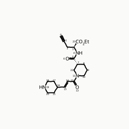 C#CC[C@H](NC(=O)[C@@H]1CCCN(C(=O)/C=C/C2CCNCC2)C1)C(=O)OCC